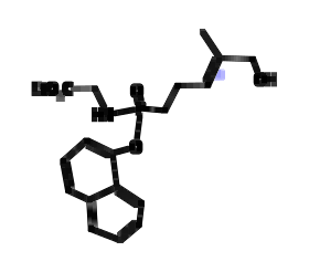 CCOC(=O)CNP(=O)(CC/C=C(\C)CO)Oc1cccc2ccccc12